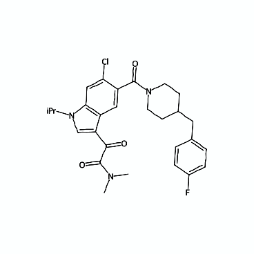 CC(C)n1cc(C(=O)C(=O)N(C)C)c2cc(C(=O)N3CCC(Cc4ccc(F)cc4)CC3)c(Cl)cc21